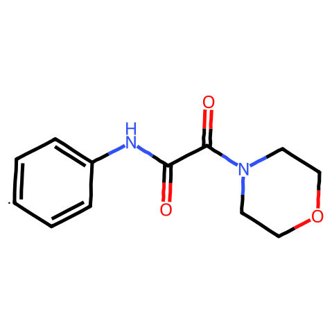 O=C(Nc1cc[c]cc1)C(=O)N1CCOCC1